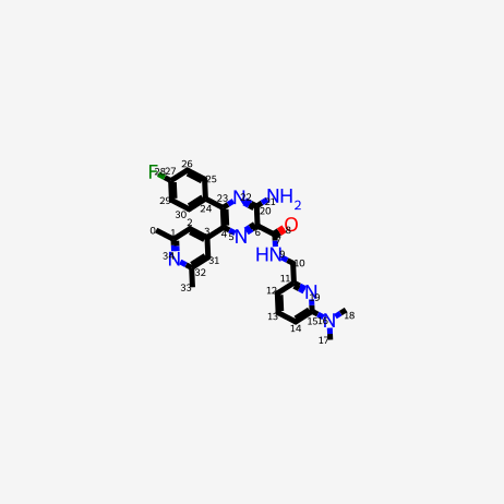 Cc1cc(-c2nc(C(=O)NCc3cccc(N(C)C)n3)c(N)nc2-c2ccc(F)cc2)cc(C)n1